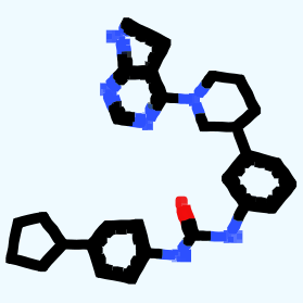 O=C(Nc1ccc(C2CCCC2)cc1)Nc1cccc(C2CCCN(c3ncnc4[nH]ccc34)C2)c1